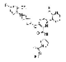 CCOc1ncccc1-c1ccc(OC2CC3(C2)CN(c2ccc(F)cc2C(F)(F)F)C3)c(C(=O)N[C@@H]2CCN(C(=O)OC(C)(C)C)C2)n1